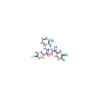 O=C(CN(Cc1cccc(F)c1F)C(=O)c1ccc(F)cc1)Nc1ccc(F)c(Cl)c1